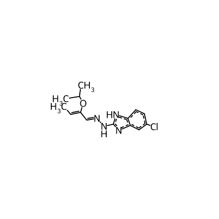 C/C=C(/C=N/Nc1nc2cc(Cl)ccc2[nH]1)OC(C)C